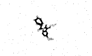 COc1ccc2c(c1)c(CC(=O)O)c(C)n2C(=O)c1ccc(F)cc1